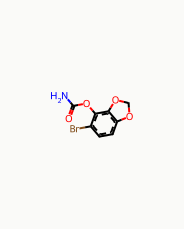 NC(=O)Oc1c(Br)ccc2c1OCO2